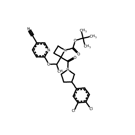 CC(Oc1ccc(C#N)cn1)C1(C(=O)N2CCC(c3ccc(Cl)c(Cl)c3)C2)CCN1C(=O)OC(C)(C)C